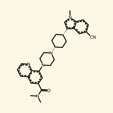 CN(C)C(=O)c1cc(N2CCN([C@H]3CC[C@@H](c4cn(C)c5ccc(C#N)cc54)CC3)CC2)c2ncccc2c1